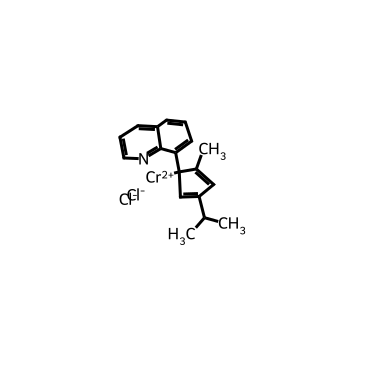 CC1=CC(C(C)C)=C[C]1([Cr+2])c1cccc2cccnc12.[Cl-].[Cl-]